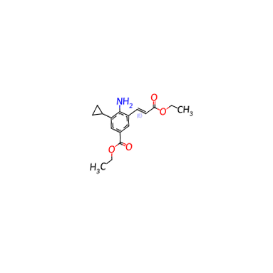 CCOC(=O)/C=C/c1cc(C(=O)OCC)cc(C2CC2)c1N